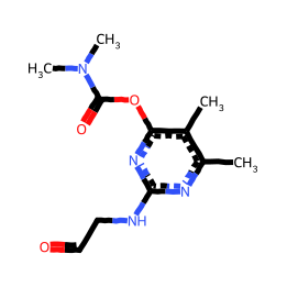 Cc1nc(NCC=O)nc(OC(=O)N(C)C)c1C